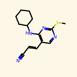 CSc1ncc(C=CC#N)c(NC2CCCCC2)n1